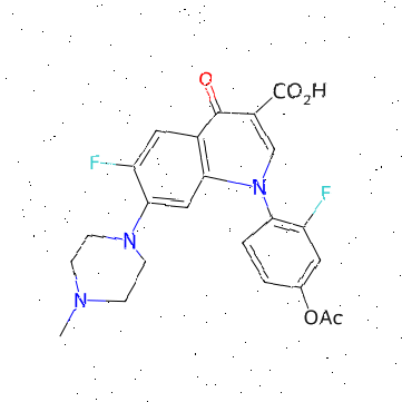 CC(=O)Oc1ccc(-n2cc(C(=O)O)c(=O)c3cc(F)c(N4CCN(C)CC4)cc32)c(F)c1